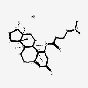 CN(C)CCCC(=O)OC1CC(=O)C=C2CC[C@H]3[C@@H]4CC[C@H](O)[C@@]4(C)CC[C@@H]3[C@]21C.Cl